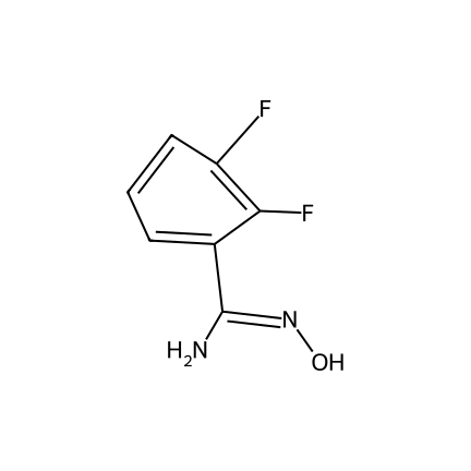 N/C(=N\O)c1cccc(F)c1F